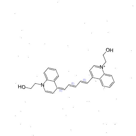 OCCN1C=C/C(=C/C=C/C=C/c2cc[n+](CCO)c3ccccc23)c2ccccc21